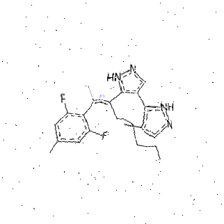 CCCCC/C(=C(/C)c1c(F)cc(C)cc1F)c1[nH]ncc1-c1[nH]ncc1C